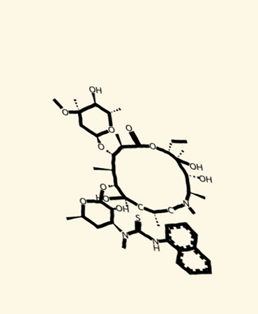 CC[C@H]1OC(=O)[C@H](C)[C@@H](O[C@H]2C[C@@](C)(OC)[C@@H](O)[C@H](C)O2)[C@H](C)[C@@H](OC2O[C@H](C)C[C@H](N(C)C(=S)Nc3cccc4ccccc34)[C@H]2O)[C@](C)(O)C[C@@H](C)CN(C)[C@H](C)[C@@H](O)[C@]1(C)O